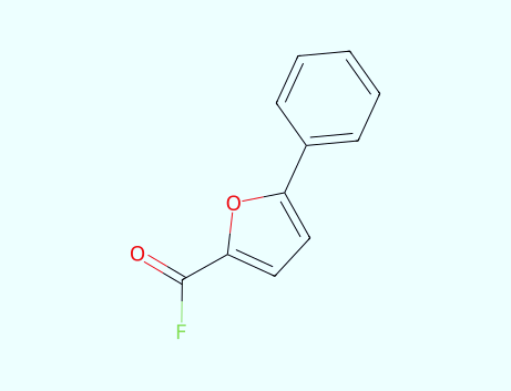 O=C(F)c1ccc(-c2ccccc2)o1